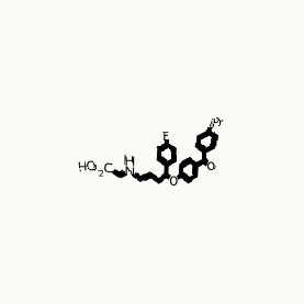 CC(C)c1ccc(C(=O)c2ccc(OC(CCCNCC(=O)O)c3ccc(F)cc3)cc2)cc1